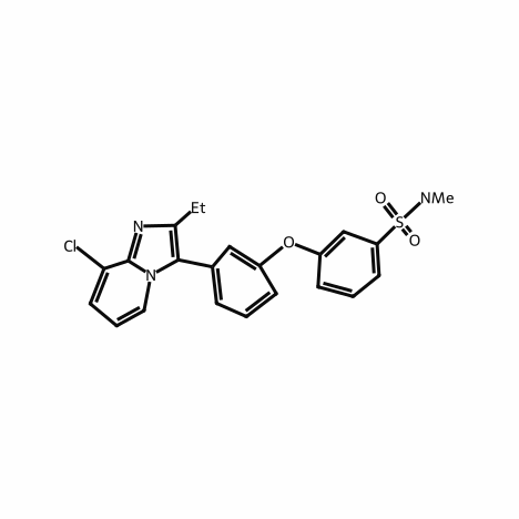 CCc1nc2c(Cl)cccn2c1-c1cccc(Oc2cccc(S(=O)(=O)NC)c2)c1